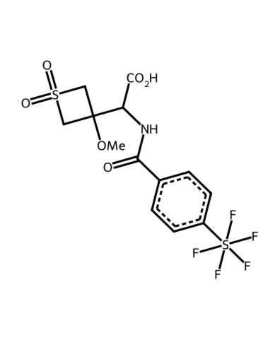 COC1(C(NC(=O)c2ccc(S(F)(F)(F)(F)F)cc2)C(=O)O)CS(=O)(=O)C1